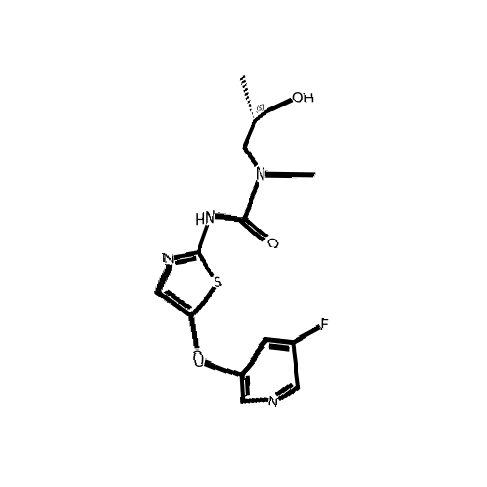 C[C@H](O)CN(C)C(=O)Nc1ncc(Oc2cncc(F)c2)s1